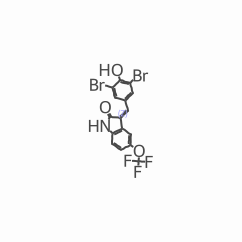 O=C1Nc2ccc(OC(F)(F)F)cc2/C1=C/c1cc(Br)c(O)c(Br)c1